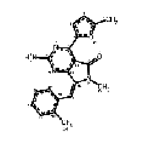 Cc1ccc(-c2nc(N)nc3c2C(=O)N(C)/C3=C/c2ccccc2C(F)(F)F)o1